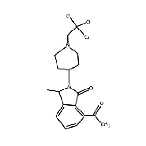 CC1c2cccc(C(N)=O)c2C(=O)N1C1CCN(CC(Cl)(Cl)Cl)CC1